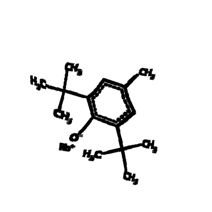 Cc1cc(C(C)(C)C)c([O-])c(C(C)(C)C)c1.[Rb+]